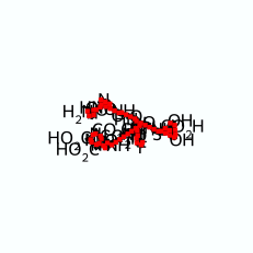 NC1CCCN1C(=O)CNC(=O)c1ccnc2ccc(OCCNC(=O)CCCCCNC(=O)CCN(CCC(=O)NCCNC(=S)c3ccc(C4c5ccc(O)cc5Cc5cc(O)ccc54)c(C(=O)O)c3)CCN(CCC(=O)NCCCCCCC(=O)Nc3ccc(CC4CN(CC(=O)O)CCN(CC(=O)O)CCN(CC(=O)O)CCN4CC(=O)O)cc3)CCC(=O)Nc3ccc(F)cc3)cc12